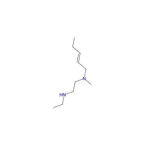 CC/C=C/CN(C)CCNCC